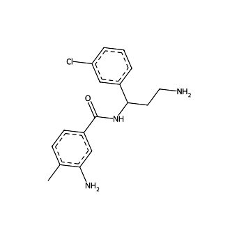 Cc1ccc(C(=O)NC(CCN)c2cccc(Cl)c2)cc1N